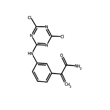 C=C(C(N)=O)c1cccc(Nc2nc(Cl)nc(Cl)n2)c1